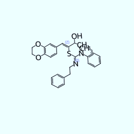 CC(O)/C(=C/c1ccc2c(c1)OCCO2)S/C(=N\CCc1ccccc1)N(C)c1ccccc1